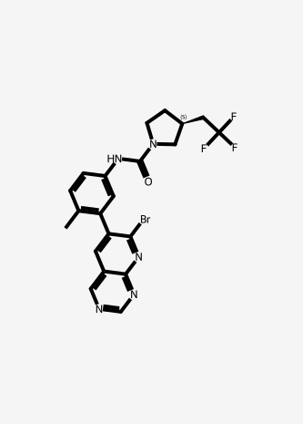 Cc1ccc(NC(=O)N2CC[C@@H](CC(F)(F)F)C2)cc1-c1cc2cncnc2nc1Br